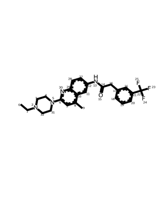 CCN1CCN(c2cc(C)c3cc(NC(=O)Cc4cccc(C(F)(F)F)c4)ccc3n2)CC1